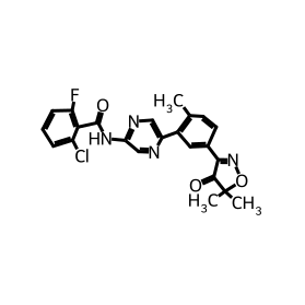 Cc1ccc(C2=NOC(C)(C)C2=O)cc1-c1cnc(NC(=O)c2c(F)cccc2Cl)cn1